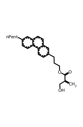 C=C(CO)C(=O)OCCCc1ccc2c(ccc3cc(CCCCC)ccc32)c1